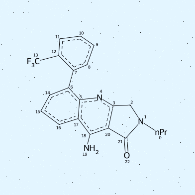 CCCN1Cc2nc3c(-c4ccccc4C(F)(F)F)cccc3c(N)c2C1=O